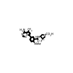 CNc1ccc(-c2cc(C(F)(F)F)c3c(N)ncnn23)cc1C(=O)N[C@@H]1CN(C(=O)O)C[C@@H]1F